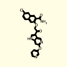 NC(=O)c1cc2cc(Cl)ccc2cc1OCC(=O)c1c[nH]c2cc(Oc3cccnc3)ncc12